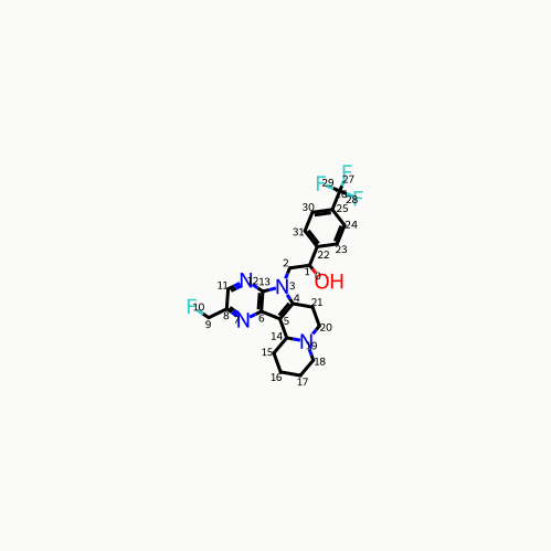 OC(Cn1c2c(c3nc(CF)cnc31)C1CCCCN1CC2)c1ccc(C(F)(F)F)cc1